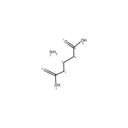 O=C(O)CCCC(=O)O.[SrH2]